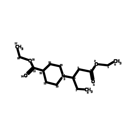 CCOC(=O)CC(CC)N1CCC(C(=O)OCC)CC1